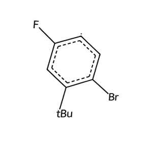 CC(C)(C)c1cc(F)[c]cc1Br